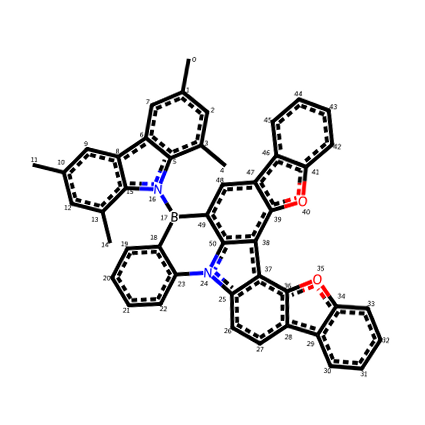 Cc1cc(C)c2c(c1)c1cc(C)cc(C)c1n2B1c2ccccc2-n2c3ccc4c5ccccc5oc4c3c3c4oc5ccccc5c4cc1c32